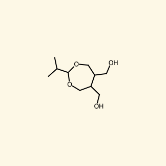 CC(C)C1OCC(CO)C(CO)CO1